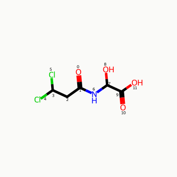 O=C(CC(Cl)Cl)NC(O)C(=O)O